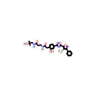 CC(C)(O)CNC(=O)CCNC(=O)Cc1ccc(-c2noc(-c3onc(-c4ccccc4)c3C(F)(F)F)n2)cc1O